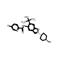 CC(C)[C@H]1CC[C@H](n2cc3cc(NC(=O)c4ccc(F)cn4)c(C(C)(C)O)cc3n2)CC1